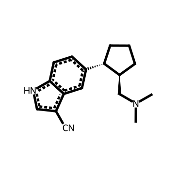 CN(C)C[C@@H]1CCC[C@H]1c1ccc2[nH]cc(C#N)c2c1